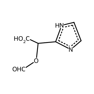 O=COC(C(=O)O)c1ncc[nH]1